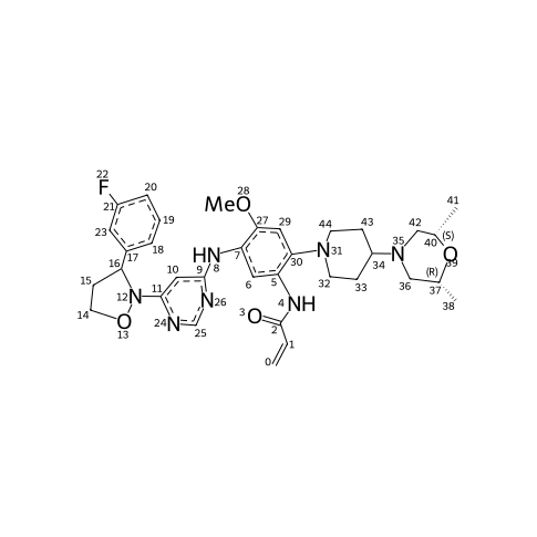 C=CC(=O)Nc1cc(Nc2cc(N3OCCC3c3cccc(F)c3)ncn2)c(OC)cc1N1CCC(N2C[C@@H](C)O[C@@H](C)C2)CC1